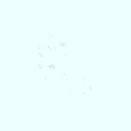 Cn1cncc1[C@@]1(CNC(=O)c2ccccc2-c2ccc(C(F)(F)F)cc2)NC(=O)NC1=O